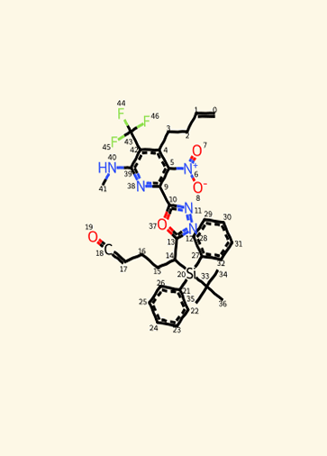 C=CCCc1c([N+](=O)[O-])c(-c2nnc(C(CCC=C=O)[Si](c3ccccc3)(c3ccccc3)C(C)(C)C)o2)nc(NC)c1C(F)(F)F